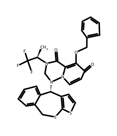 C[C@@H](N1CN([C@H]2c3ccccc3CSc3sccc32)n2ccc(=O)c(OCc3ccccc3)c2C1=O)C(F)(F)F